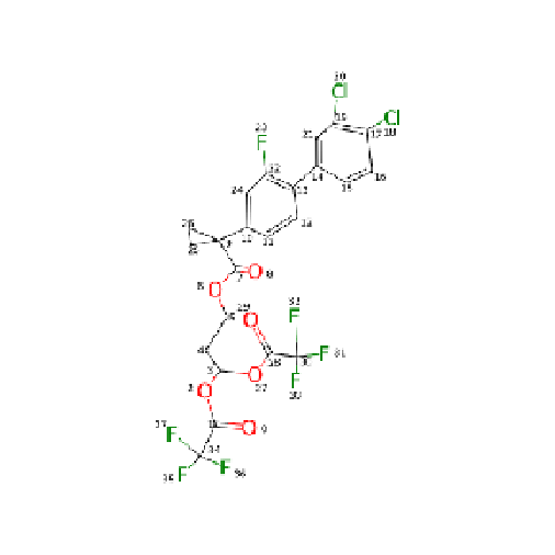 O=C(OC(CCOC(=O)C1(c2ccc(-c3ccc(Cl)c(Cl)c3)c(F)c2)CC1)OC(=O)C(F)(F)F)C(F)(F)F